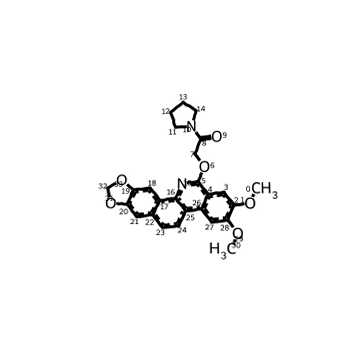 COc1cc2c(OCC(=O)N3CCCC3)nc3c4cc5c(cc4ccc3c2cc1OC)OCO5